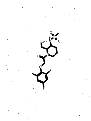 COCC1C(NS(C)(=O)=O)CCCN1C(=O)COc1c(C)cc(F)cc1F